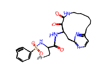 CC(C)CC(NS(=O)(=O)c1ccccc1)C(=O)NC1Cc2nccc(n2)CCCCNC(=O)C1=O